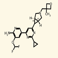 CC1(CN2C[C@@H]3C(c4cc(-c5cnc(N)c(OC(F)F)c5)nc(C5CC5)n4)[C@H]3C2)COC1